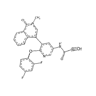 C#CC(=O)Nc1cnc(Oc2ccc(F)cc2F)c(-c2cn(C)c(=O)c3ccccc23)c1